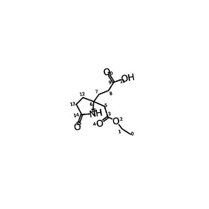 CCOC(=O)CC1(CCC(=O)O)CCC(=O)N1